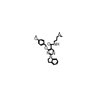 COc1ccc(COc2nc(N3CCc4ccccc43)ncc2C(=O)NCCCN(C)C)cc1